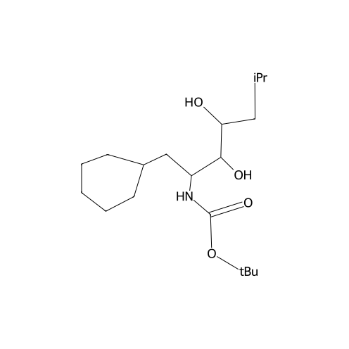 CC(C)CC(O)C(O)C(CC1CCCCC1)NC(=O)OC(C)(C)C